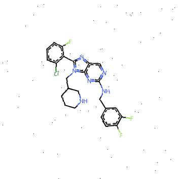 Fc1ccc(CNc2ncc3nc(-c4c(F)cccc4Cl)n(CC4CCCNC4)c3n2)cc1F